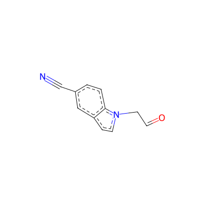 N#Cc1ccc2c(ccn2CC=O)c1